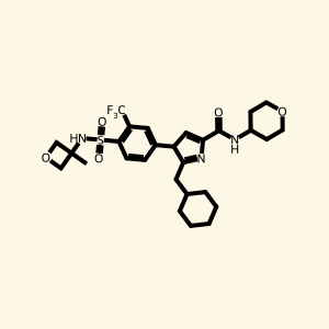 CC1(NS(=O)(=O)c2ccc(C3C=C(C(=O)NC4CCOCC4)N=C3CC3CCCCC3)cc2C(F)(F)F)COC1